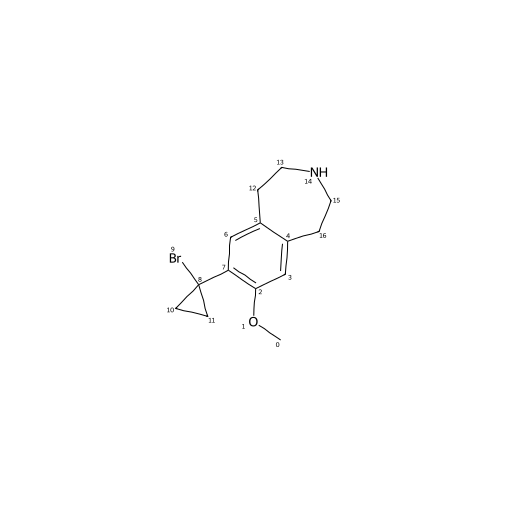 COc1cc2c(cc1C1(Br)CC1)CCNCC2